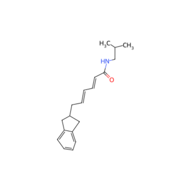 CC(C)CNC(=O)C=CC=CCC1Cc2ccccc2C1